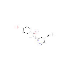 C#Cc1ccnc(NC(=O)c2ccc(O)cc2)c1